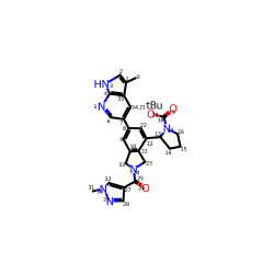 Cc1c[nH]c2ncc(-c3cc4c(c(C5CCCN5C(=O)OC(C)(C)C)c3)CN(C(=O)c3cnn(C)c3)C4)cc12